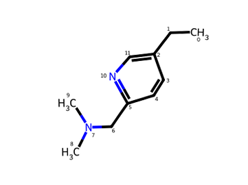 CCc1ccc(CN(C)C)nc1